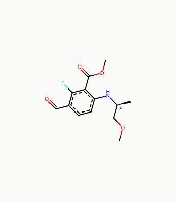 COC[C@H](C)Nc1ccc(C=O)c(F)c1C(=O)OC